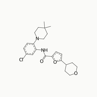 CC1(C)CCN(c2ccc(Cl)cc2NC(=O)c2ccc(C3CCOCC3)o2)CC1